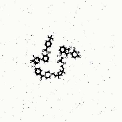 Cc1c(NC(=O)c2ccc(C(C)(C)C)cc2)cccc1-c1cn(C)c(=O)c(Nc2ccc(C(=O)N3CCN(CCC(C)(C)CC(C)(C)CCNC(=O)CNc4cccc5c4C(=O)N(C4CCC(=O)NC4=O)C5=O)CC3)cc2)n1